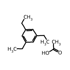 CC(=O)O.CCc1cc(CC)cc(CC)c1